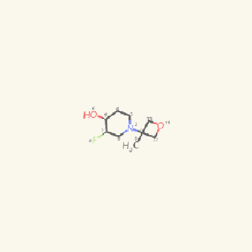 CC1(N2CC[C@H](O)[C@H](F)C2)COC1